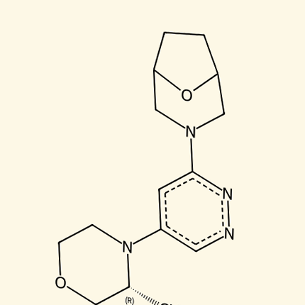 C[C@@H]1COCCN1c1cnnc(N2CC3CCC(C2)O3)c1